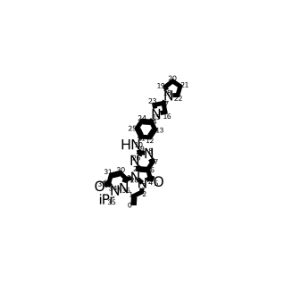 C=CCn1c(=O)c2cnc(Nc3ccc(N4CC(N5CCCC5)C4)cc3)nc2n1-c1ccc(=O)n(C(C)C)n1